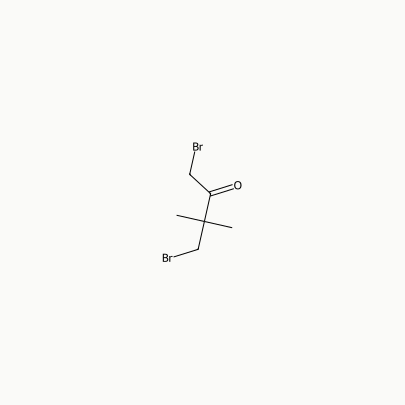 CC(C)(CBr)C(=O)CBr